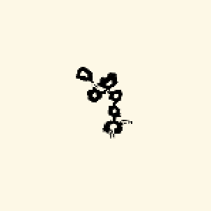 N#Cc1cnccc1-c1ccc(-c2cccc(N3c4ccccc4N(c4ccccc4)c4ccccc43)c2)cc1